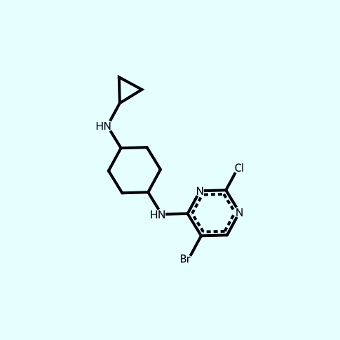 Clc1ncc(Br)c(NC2CCC(NC3CC3)CC2)n1